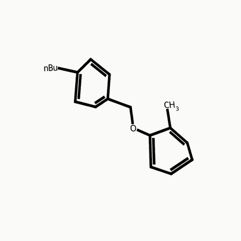 CCCCc1ccc(COc2ccccc2C)cc1